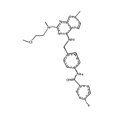 COCCN(C)c1nc(NCc2ccc(NC(=O)c3ccc(F)cc3)cc2)c2ccc(C)cc2n1